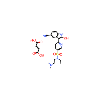 CCN(CCN(C)C)S(=O)(=O)c1ccc(-c2c(O)[nH]c3ccc(C#N)cc23)nc1.O=C(O)C=CC(=O)O